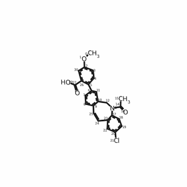 COc1ccc(-c2ccc3c(c2)CN(C(C)=O)c2ccc(Cl)cc2C=C3)c(C(=O)O)c1